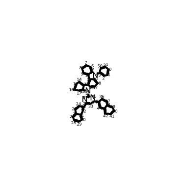 c1ccc(-n2c3ccccc3c3c4c5ccccc5n(-c5nc(-c6ccc7ccccc7c6)cc(-c6ccc7ccccc7c6)n5)c4ccc32)cc1